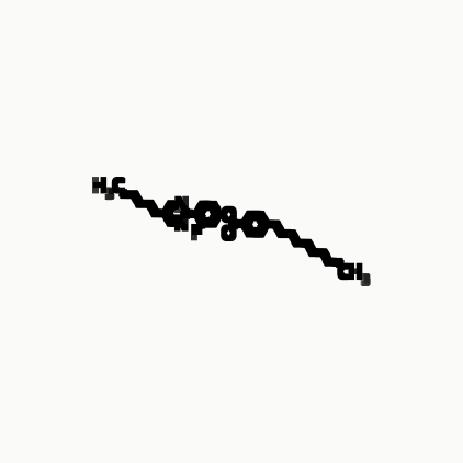 CCCCCCCCCCc1ccc(C(=O)Oc2ccc(-c3ncc(CCCCCC)cn3)c(F)c2)cc1